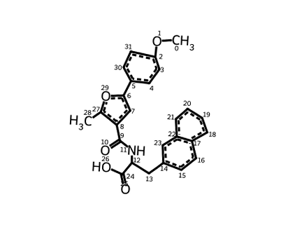 COc1ccc(-c2cc(C(=O)NC(Cc3ccc4ccccc4c3)C(=O)O)c(C)o2)cc1